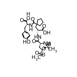 CS(=O)(=O)CC[C@H](NS(C)(=O)=O)C(=O)NC[C@H](CC1(C(=O)N[C@@H](Cc2ccc(O)cc2)C(=O)O)CCCC1)C(=O)O